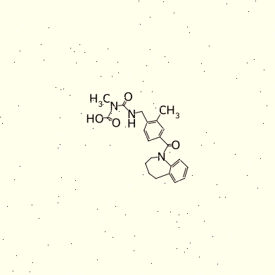 Cc1cc(C(=O)N2CCCCc3ccccc32)ccc1CNC(=O)N(C)C(=O)O